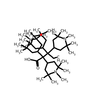 CCC(C1CC(C)(C)N(C)C(C)(C)C1)(C1CC(C)(C)N(C)C(C)(C)C1)C(C(=O)O)(C1CC(C)(C)N(C)C(C)(C)C1)C1CC(C)(C)N(C)C(C)(C)C1